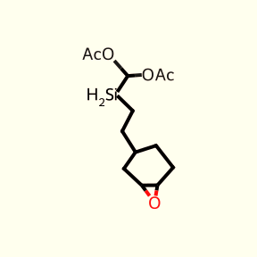 CC(=O)OC(OC(C)=O)[SiH2]CCC1CCC2OC2C1